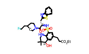 CCOC(=O)CCc1cc2c(c(S(=O)(=O)N[C@@H](Cc3nc4ccccc4s3)C(=O)N3CCC(CCF)CC3)c1)NCC(C)(C)[C@@H]2O